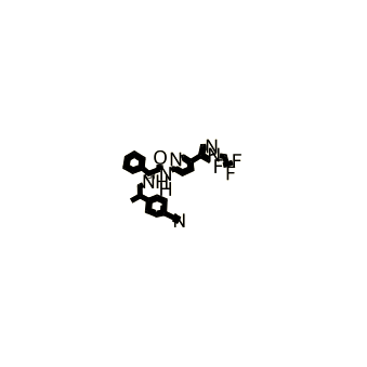 CC(CN[C@H](C(=O)Nc1ccc(-c2cnn(CC(F)(F)F)c2)cn1)c1ccccc1)c1ccc(C#N)cc1